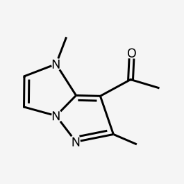 CC(=O)c1c(C)nn2ccn(C)c12